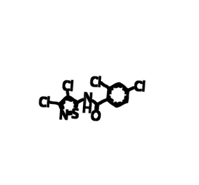 O=C(Nc1snc(Cl)c1Cl)c1ccc(Cl)cc1Cl